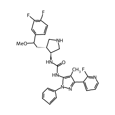 COC(C[C@@H]1CNC[C@H]1NC(=O)Nc1c(C)c(-c2cccnc2F)nn1-c1ccccc1)c1ccc(F)c(F)c1